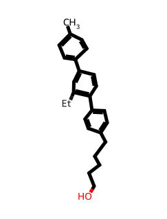 CCc1cc(-c2ccc(C)cc2)ccc1-c1ccc(CCCCCO)cc1